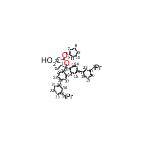 C=CC(OC(Oc1ccccc1)C(=O)O)(c1ccc(-c2cccc(C(C)C)c2)cc1)c1ccc(-c2cccc(C(C)C)c2)cc1